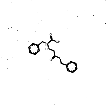 O=C(CN[C@@H](Cc1ccccc1)C(=O)O)OCc1ccccc1